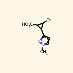 CCC1C(C(=O)O)C1c1ccn(C)n1